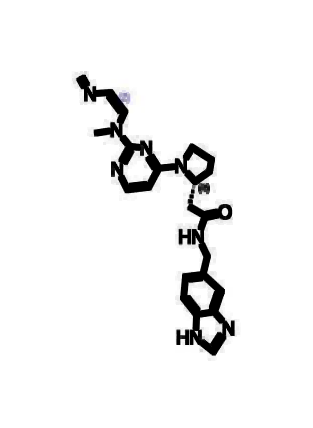 C=N/C=C\N(C)c1nccc(N2CCC[C@@H]2CC(=O)NCc2ccc3[nH]cnc3c2)n1